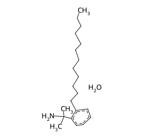 CCCCCCCCCCCCc1ccccc1C(C)(C)N.O